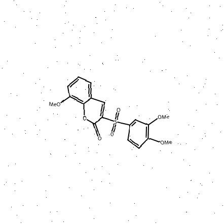 COc1ccc(S(=O)(=O)c2cc3cccc(OC)c3oc2=O)cc1OC